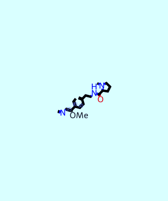 C=N/C=C(OC)/C(/C=C\C(=C)CCNC(=O)C1CCCN1C)=C/C